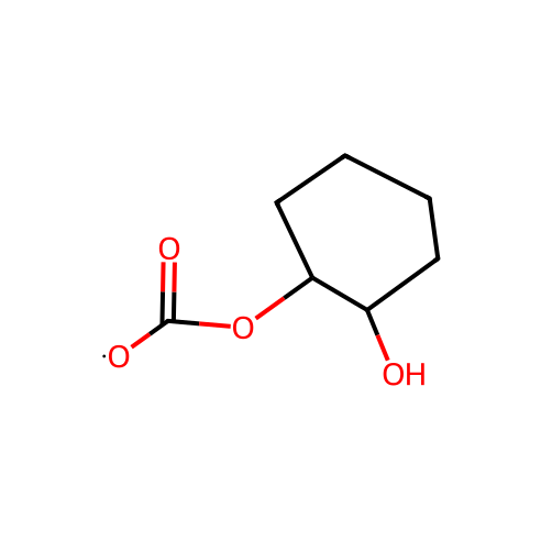 [O]C(=O)OC1CCCCC1O